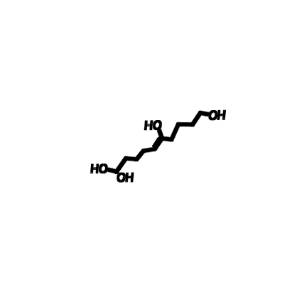 OCCCCC(O)=CCCCC(O)O